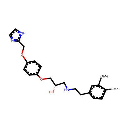 COc1ccc(CCNC[C@H](O)COc2ccc(OCc3ncc[nH]3)cc2)cc1OC